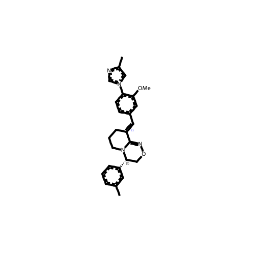 COc1cc(/C=C2\CCCN3C2=NOC[C@@H]3c2cccc(C)c2)ccc1-n1cnc(C)c1